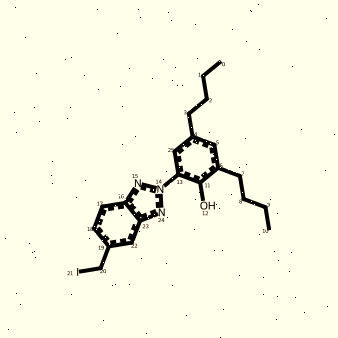 CCCCc1cc(CCCC)c(O)c(-n2nc3ccc(CI)cc3n2)c1